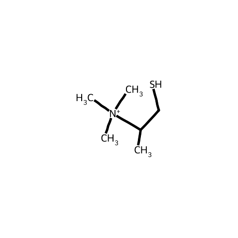 CC(CS)[N+](C)(C)C